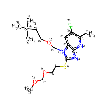 Cc1nc2nc(SCCOCOC(C)(C)C)n(COCC[Si](C)(C)C)c2cc1Cl